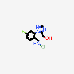 OCc1ncnn1-c1cc(F)ccc1CNCl